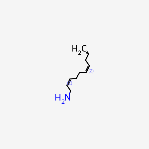 C=CC/C=C\CC/C=C\CN